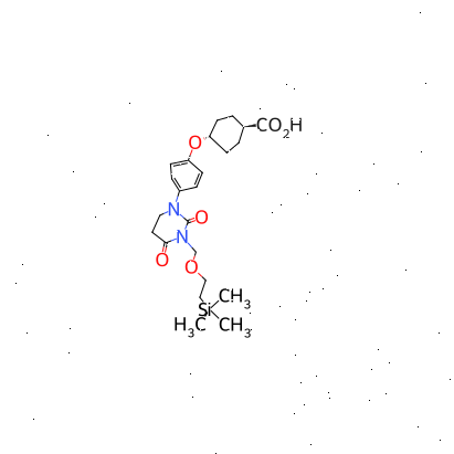 C[Si](C)(C)CCOCN1C(=O)CCN(c2ccc(O[C@H]3CC[C@H](C(=O)O)CC3)cc2)C1=O